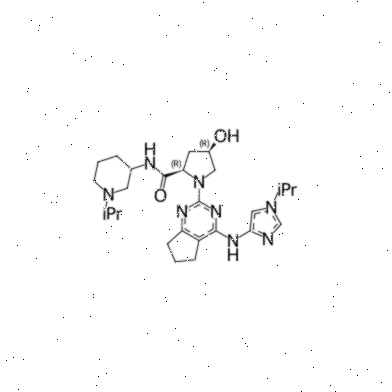 CC(C)N1CCCC(NC(=O)[C@H]2C[C@@H](O)CN2c2nc3c(c(Nc4cn(C(C)C)cn4)n2)CCC3)C1